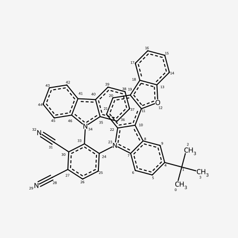 CC(C)(C)c1ccc2c(c1)c1c3oc4ccccc4c3ccc1n2-c1ccc(C#N)c(C#N)c1-n1c2ccccc2c2ccccc21